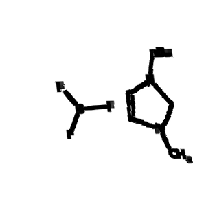 CCCCN1C=CN(C)C1.FB(F)F